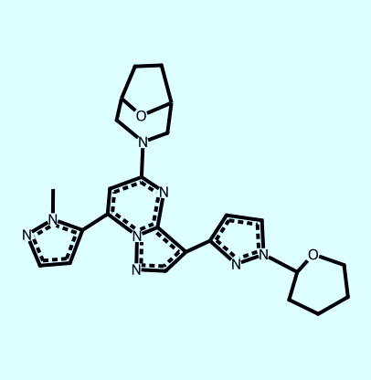 Cn1nccc1-c1cc(N2CC3CCC(C2)O3)nc2c(-c3ccn(C4CCCCO4)n3)cnn12